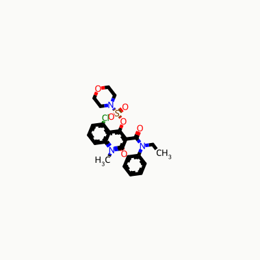 CCN(C(=O)c1c(OS(=O)(=O)N2CCOCC2)c2c(Cl)cccc2n(C)c1=O)c1ccccc1